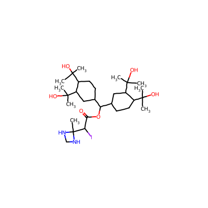 CC(C)(O)C1CCC(C(OC(=O)C(I)C2(C)NCN2)C2CCC(C(C)(C)O)C(C(C)(C)O)C2)CC1C(C)(C)O